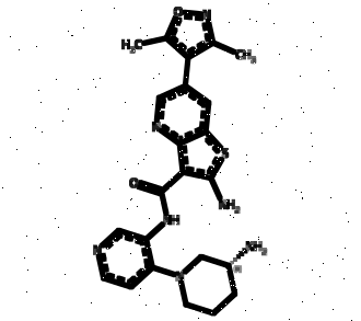 Cc1noc(C)c1-c1cnc2c(C(=O)Nc3cnccc3N3CCC[C@@H](N)C3)c(N)sc2c1